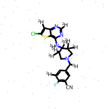 [2H]c1nc(N([2H])C2([2H])C([2H])([2H])CN(C([2H])c3cc([2H])c(F)c(C#N)c3)CC2([2H])[2H])c2sc(Cl)c([2H])c2n1